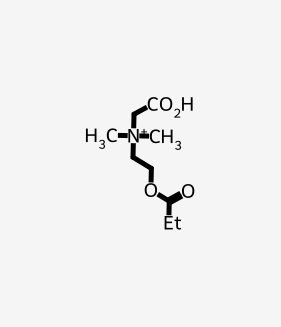 CCC(=O)OCC[N+](C)(C)CC(=O)O